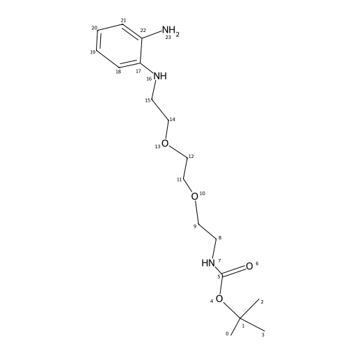 CC(C)(C)OC(=O)NCCOCCOCCNc1ccccc1N